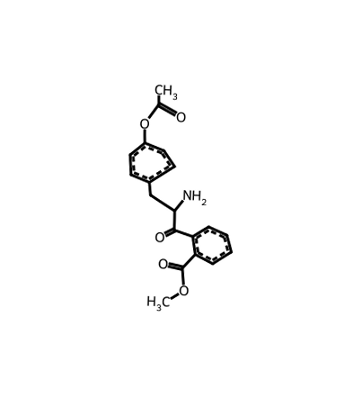 COC(=O)c1ccccc1C(=O)C(N)Cc1ccc(OC(C)=O)cc1